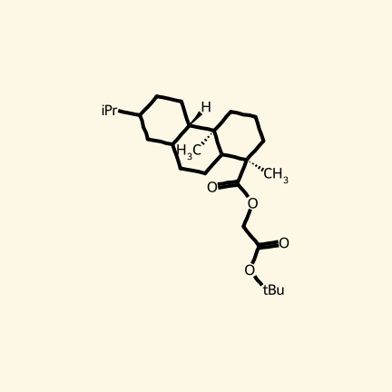 CC(C)C1CC[C@H]2C(CCC3[C@](C)(C(=O)OCC(=O)OC(C)(C)C)CCC[C@@]32C)C1